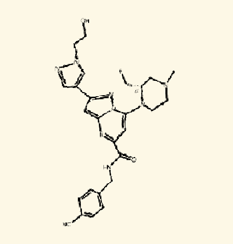 CN1CCN(c2cc(C(=O)NCc3ccc(C#N)cc3)nc3cc(-c4cnn(CCO)c4)nn23)[C@H](CF)C1